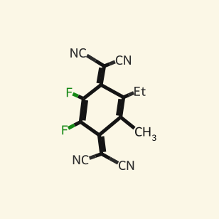 CCc1c(C)c(=C(C#N)C#N)c(F)c(F)c1=C(C#N)C#N